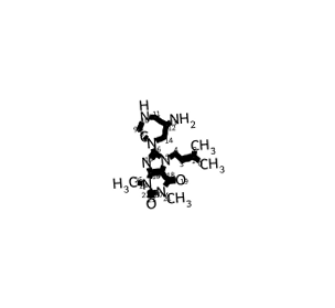 CC(C)=CCn1c(N2CCNCC(N)C2)nc2c1c(=O)n(C)c(=O)n2C